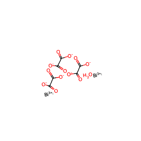 O.O=C([O-])C(=O)[O-].O=C([O-])C(=O)[O-].O=C([O-])C(=O)[O-].[Bi+3].[Bi+3]